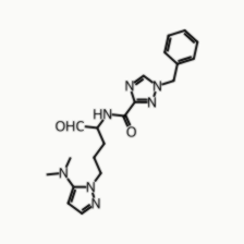 CN(C)c1ccnn1CCCC(C=O)NC(=O)c1ncn(Cc2ccccc2)n1